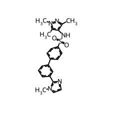 Cc1nn(C)c(C)c1NS(=O)(=O)c1ccc(-c2cccc(-c3nccn3C)c2)cc1